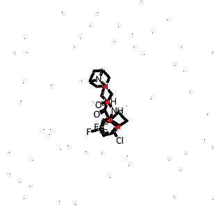 O=C(CN1CC2CC(C1)N2CCNC(=O)C1(C(F)(F)F)CCC1)Nc1cc(F)cc(Cl)c1